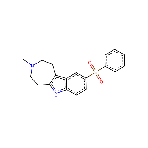 CN1CCc2[nH]c3ccc(S(=O)(=O)c4ccccc4)cc3c2CC1